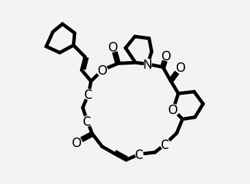 O=C1CC=CCCCCC2CCCC(O2)C(=O)C(=O)N2CCCCC2C(=O)OC(C=CC2CCCCC2)CCC1